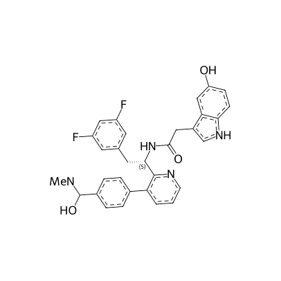 CNC(O)c1ccc(-c2cccnc2[C@H](Cc2cc(F)cc(F)c2)NC(=O)Cc2c[nH]c3ccc(O)cc23)cc1